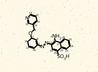 Nc1c(/N=N/C2=CC(OCc3cccnc3)CC=C2)cc(S(=O)(=O)O)c2ccccc12